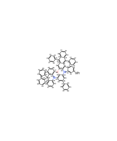 CC(C)c1ccc2c3c4c(-c5ccccc5)c5ccccc5c(-c5ccccc5)c4cc4c3n(c2c1)-c1cc(-c2ccccc2)cc2c1B4c1cccc3c1N2c1ccccc1C3(c1ccccc1)c1ccccc1